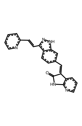 O=C1Nc2ncccc2C1=Cc1ccc2c(C=Cc3ccccn3)n[nH]c2c1